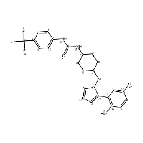 O=C(Nc1ccc(C(F)(F)F)cc1)NC1CCC(Cn2cncc2-c2cc(Cl)ccc2O)CC1